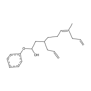 C=CCC(C)=CCCC(CC=C)CC(O)Oc1ccccc1